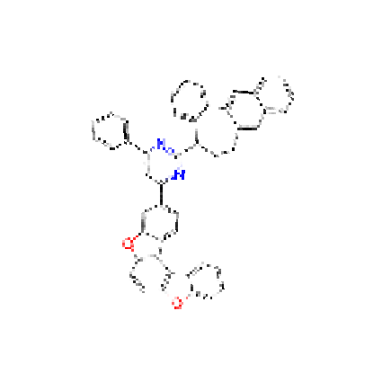 c1ccc(-c2cc(-c3ccc4c(c3)oc3ccc5oc6ccccc6c5c34)nc(C3CCc4cc5ccccc5cc4-c4ccccc43)n2)cc1